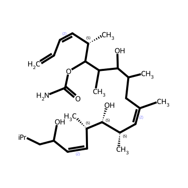 C=C/C=C\[C@H](C)C(OC(N)=O)C(C)C(O)C(C)C/C(C)=C\[C@H](C)[C@@H](O)[C@@H](C)/C=C\C(O)CC(C)C